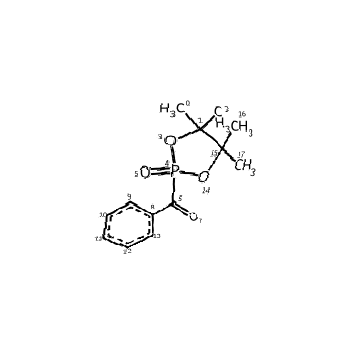 CC1(C)OP(=O)(C(=O)c2ccccc2)OC1(C)C